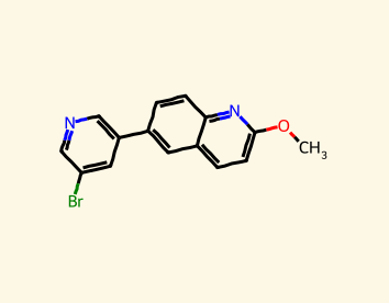 COc1ccc2cc(-c3cncc(Br)c3)ccc2n1